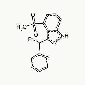 [CH2]CC(c1ccccc1)c1c[nH]c2cccc(S(C)(=O)=O)c12